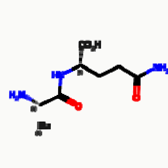 CC[C@H](C)[C@H](N)C(=O)N[C@@H](CCC(N)=O)C(=O)O